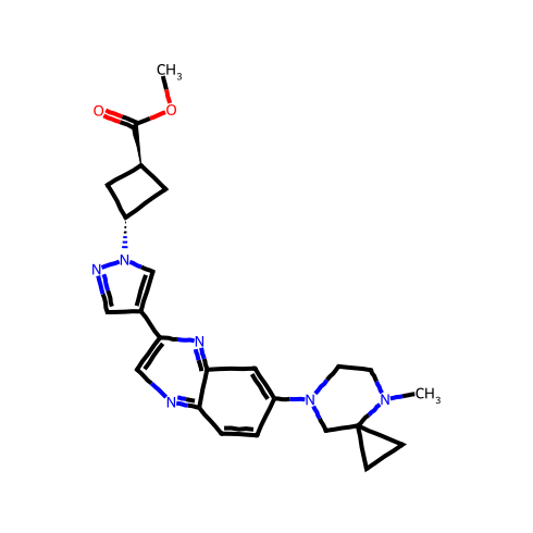 COC(=O)[C@H]1C[C@H](n2cc(-c3cnc4ccc(N5CCN(C)C6(CC6)C5)cc4n3)cn2)C1